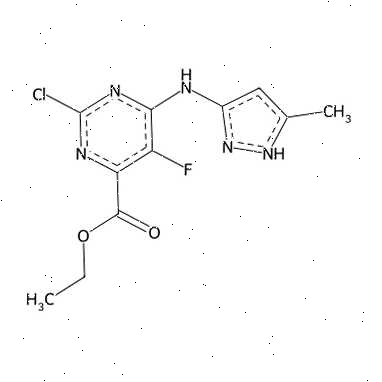 CCOC(=O)c1nc(Cl)nc(Nc2cc(C)[nH]n2)c1F